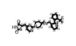 O=C1NC(=O)/C(=C/c2ccnc(N3CCC(CNCc4cccnc4-c4ccccc4C(F)(F)F)CC3)n2)S1